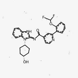 O=C(/N=c1\[nH]c2ccccc2n1[C@H]1CC[C@@H](O)CC1)c1ccnc(-c2ccccc2OC(F)F)c1